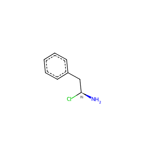 N[C@@H](Cl)Cc1ccccc1